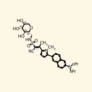 CCCN(CCC)c1ccc2cc(-c3ccc(/C(C)=C(\C#N)S(=O)(=O)NC[C@H]4OC[C@H](O)[C@@H](O)[C@@H]4O)n3C)ccc2c1